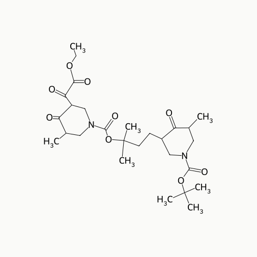 CCOC(=O)C(=O)C1CN(C(=O)OC(C)(C)CCC2CN(C(=O)OC(C)(C)C)CC(C)C2=O)CC(C)C1=O